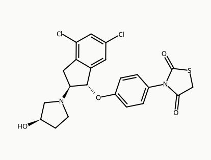 O=C1CSC(=O)N1c1ccc(O[C@H]2c3cc(Cl)cc(Cl)c3C[C@@H]2N2CC[C@@H](O)C2)cc1